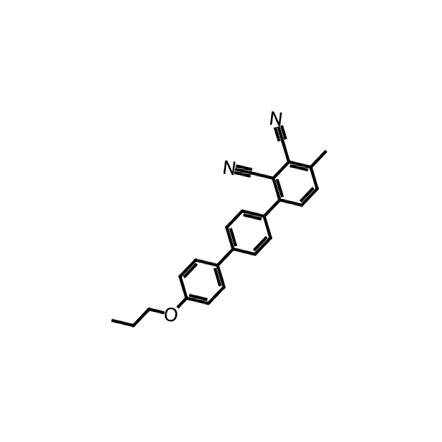 CCCOc1ccc(-c2ccc(-c3ccc(C)c(C#N)c3C#N)cc2)cc1